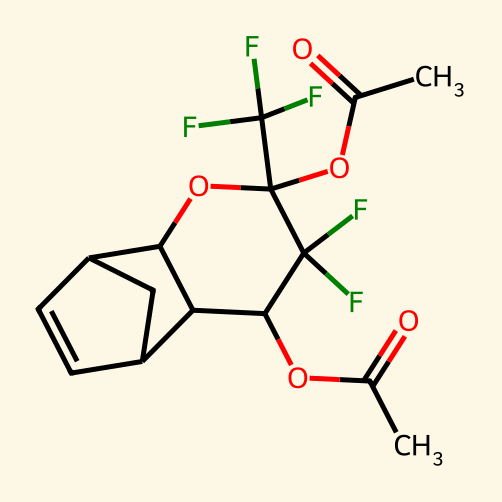 CC(=O)OC1C2C3C=CC(C3)C2OC(OC(C)=O)(C(F)(F)F)C1(F)F